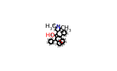 CC1=CC(C2=C(O)C(=C(c3ccccc3)c3ccccc3)C2=C(c2ccccc2)c2ccccc2)CC(C)=N1